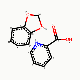 O=C(O)c1ccccn1.c1ccc2c(c1)OCO2